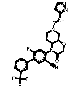 N#Cc1cc(-c2cccc(C(F)(F)F)c2)c(F)cc1N1C(=O)COC2CN(SNc3ccon3)CCC21